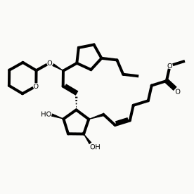 CCCC1CCC([C@@H](/C=C/[C@@H]2[C@@H](C/C=C\CCCC(=O)OC)[C@@H](O)C[C@H]2O)OC2CCCCO2)C1